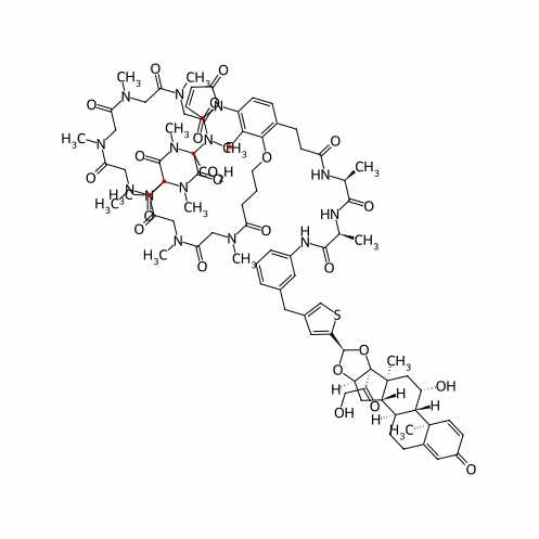 C[C@H](NC(=O)CCc1ccc(N2C(=O)C=CC2=O)c(F)c1OCCCC(=O)N(C)CC(=O)N(C)CC(=O)N(C)CC(=O)N(C)CC(=O)N(C)CC(=O)N(C)CC(=O)N(C)CC(=O)N(C)CC(=O)N(C)CC(=O)N(C)CC(=O)O)C(=O)N[C@@H](C)C(=O)Nc1cccc(Cc2csc([C@@H]3O[C@@H]4C[C@H]5[C@@H]6CCC7=CC(=O)C=C[C@]7(C)[C@H]6[C@@H](O)C[C@]5(C)[C@]4(C(=O)CO)O3)c2)c1